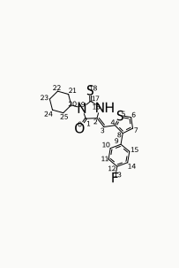 O=C1/C(=C/c2sccc2-c2ccc(F)cc2)NC(=S)N1C1CCCCC1